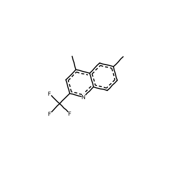 Cc1ccc2nc(C(F)(F)F)cc(C)c2c1